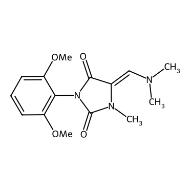 COc1cccc(OC)c1N1C(=O)/C(=C/N(C)C)N(C)C1=O